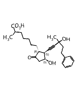 CC(CCCCC[C@H]1C(=O)C[C@H](O)[C@@H]1C#CC(C)(O)CCc1ccccc1)C(=O)O